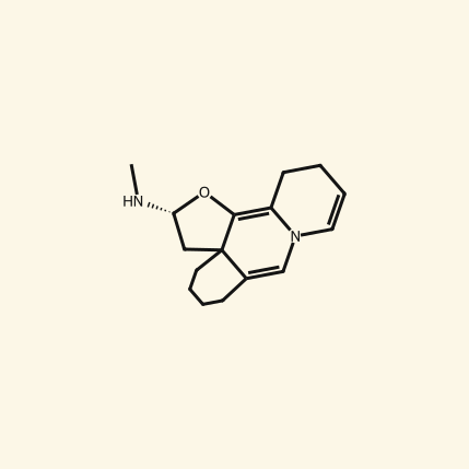 CN[C@H]1CC23CCCCC2=CN2C=CCCC2=C3O1